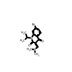 CC(C)N1C(=O)C(=CN(C)C)C(=O)c2ccc(Br)cc21